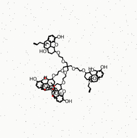 C=CCN1CC[C@]23c4c5ccc(O)c4OC2C(OCCOCC(COCCOC2CC[C@@]4(O)C6Cc7ccc(O)c8c7[C@@]4(CCN6CC=C)C2O8)(COCCOC2CC[C@@]4(O)C6Cc7ccc(O)c8c7[C@@]4(CCN6CC=C)[C@H]2O8)COCCOC2CC[C@@]4(O)C6Cc7ccc(O)c8c7[C@@]4(CCN6CC=C)[C@H]2O8)CC[C@@]3(O)C1C5